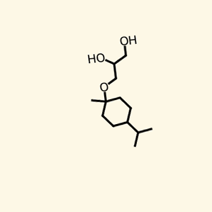 CC(C)C1CCC(C)(OCC(O)CO)CC1